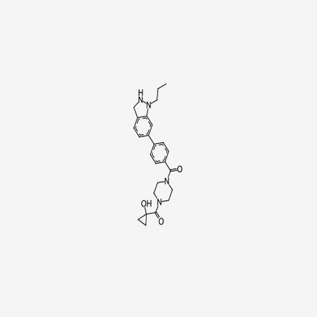 CCCN1NCc2ccc(-c3ccc(C(=O)N4CCN(C(=O)C5(O)CC5)CC4)cc3)cc21